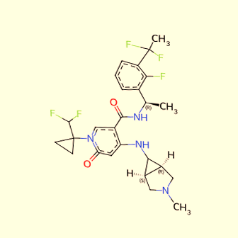 C[C@@H](NC(=O)c1cn(C2(C(F)F)CC2)c(=O)cc1NC1[C@H]2CN(C)C[C@@H]12)c1cccc(C(C)(F)F)c1F